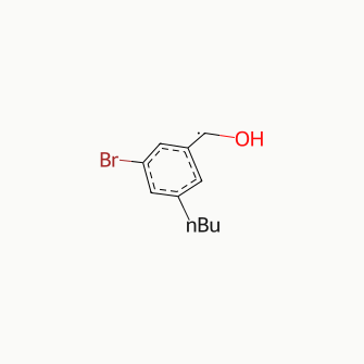 CCCCc1cc(Br)cc([CH]O)c1